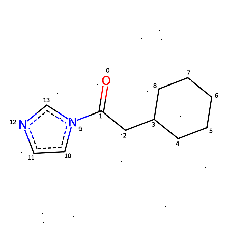 O=C(CC1CCCCC1)n1ccnc1